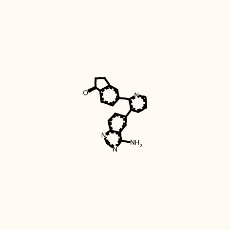 Nc1ncnc2ccc(-c3cccnc3-c3ccc4c(c3)CCC4=O)cc12